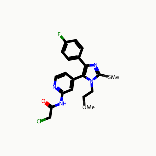 COCCn1c(SC)nc(-c2ccc(F)cc2)c1-c1ccnc(NC(=O)CCl)c1